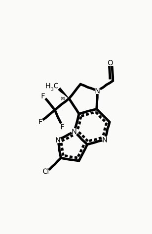 C[C@@]1(C(F)(F)F)CN(C=O)c2cnc3cc(Cl)nn3c21